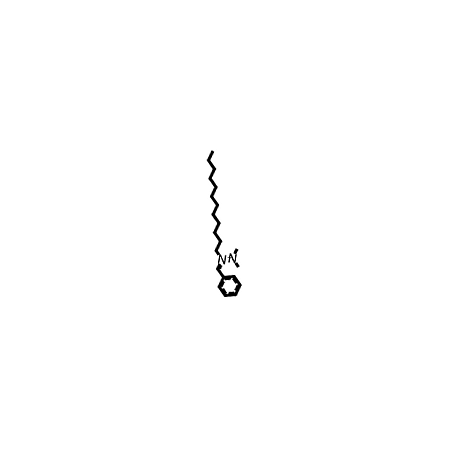 CCCCCCCCCCCC[N+](=Cc1ccccc1)N(C)C